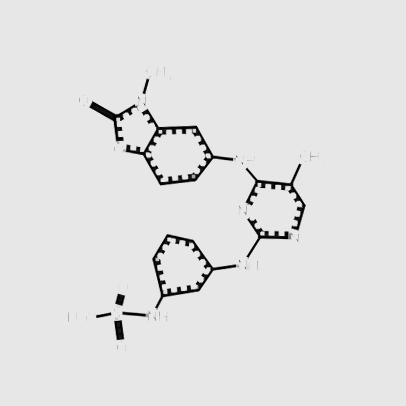 Cc1cnc(Nc2cccc(NS(C)(=O)=O)c2)nc1Nc1ccc2oc(=O)n(C)c2c1